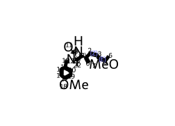 C=C(/C=C\C(=C/C)OC)[C@@H]1NC(=O)N(Cc2ccc(OC)cc2)[C@@H]1C